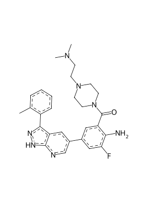 Cc1ccccc1-c1n[nH]c2ncc(-c3cc(F)c(N)c(C(=O)N4CCN(CCN(C)C)CC4)c3)cc12